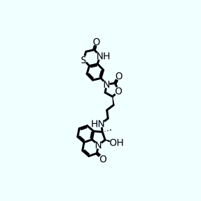 C[C@@]1(NCCC[C@H]2CN(c3ccc4c(c3)NC(=O)CS4)C(=O)O2)c2cccc3ccc(=O)n(c23)[C@@H]1O